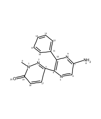 Cn1nc(-c2ncc(N)nc2-c2ccccc2)ccc1=O